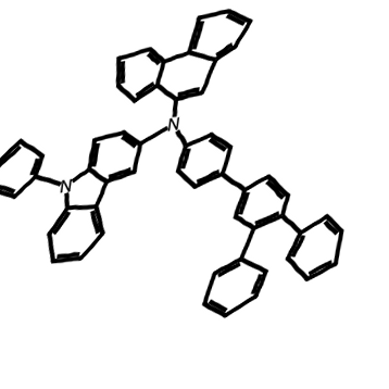 c1ccc(-c2ccc(-c3ccc(N(c4ccc5c(c4)c4ccccc4n5-c4ccccc4)c4cc5ccccc5c5ccccc45)cc3)cc2-c2ccccc2)cc1